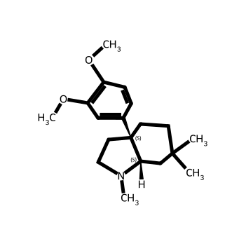 COc1ccc([C@]23CCN(C)[C@H]2CC(C)(C)CC3)cc1OC